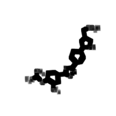 CC(Oc1ccc(-c2nc(-c3ccc(C4CC(CC(=O)O)CN4)cc3)no2)cc1C(F)(F)F)C(F)(F)F